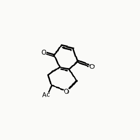 CC(=O)C1CC2=C(CO1)C(=O)C=CC2=O